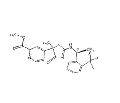 COC(=O)c1cc(C2(C)SC(N[C@@H](C)c3ccccc3C(F)(F)F)=NC2=O)ccn1